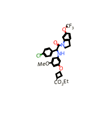 CCOC(=O)[C@H]1C[C@H](Oc2cc(NC(C(=O)N3CCc4ccc(OC(F)(F)F)cc43)c3ccc(Cl)cc3)cc(OC)c2)C1